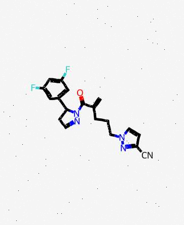 C=C(CCCn1ccc(C#N)n1)C(=O)N1N=CCC1c1cc(F)cc(F)c1